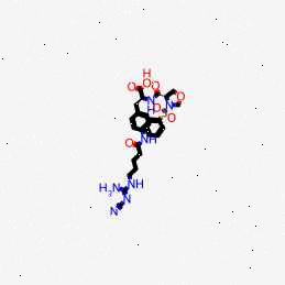 N#C/N=C(\N)NCCCCC(=O)Nc1ccc(C[C@H](NC(=O)[C@@H]2COCN2S(=O)(=O)c2ccccc2)C(=O)O)cc1